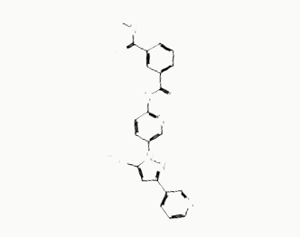 CC(C)NC(=O)c1cccc(C(=O)Nc2ccc(-n3nc(-c4cccnc4)cc3C(F)(F)F)cn2)c1